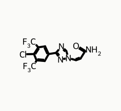 NC(=O)/C=C\n1cnc(-c2cc(C(F)(F)F)c(Cl)c(C(F)(F)F)c2)n1